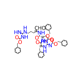 N=C(NCCC[C@@H](C=O)NC(=O)[C@@H]1CCCN1C(=O)[C@@H](Cc1ccccc1)NC(=NC(=O)OCc1ccccc1)NC(=O)OCc1ccccc1)NC(=O)OCc1ccccc1